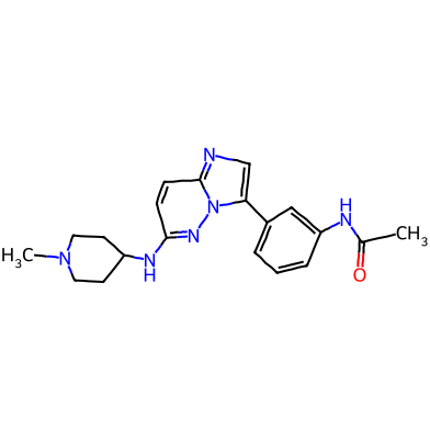 CC(=O)Nc1cccc(-c2cnc3ccc(NC4CCN(C)CC4)nn23)c1